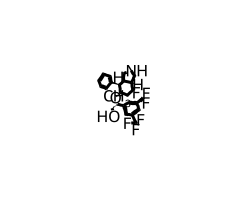 Cc1ccccc1[C@H]1[C@@H]2CNC[C@H]2CC[C@@H]1O[C@@H](CO)c1cc(C(F)(F)F)cc(C(F)(F)F)c1